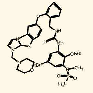 COc1c(NC(=O)NCc2ccccc2Oc2ccc3c(c2)N2C=CN(CN4CCOCC4)C2S3)cc(C(C)(C)C)cc1N(C)S(C)(=O)=O